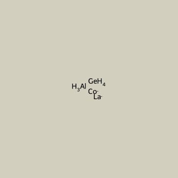 [AlH3].[Co].[GeH4].[La]